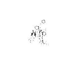 CC(C)(C)OC(=O)[C@H](Cc1cccc(B(O)O)c1)NC(=O)[C@H](CCN1CCOCC1)NC(=O)[C@H](Cc1cccc(OCc2ccccc2)c1)N1CCCS1(=O)=O